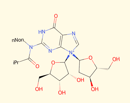 CCCCCCCCCN(C(=O)C(C)C)c1nc2c(c(=O)[nH]1)N=C[N+]2([C@@H]1C[C@H](O)[C@@H](CO)O1)[C@@H]1O[C@H](CO)[C@@H](O)[C@H]1O